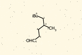 CCC(C)CC(C)CC[C]=O